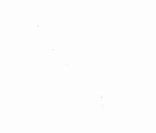 CONC(=O)c1c(C)oc2ccc(NS(=O)(=O)c3ccc(OC)cc3)cc12